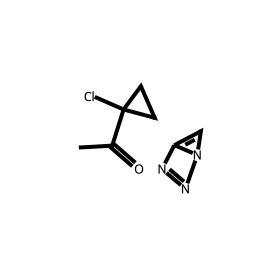 CC(=O)C1(Cl)CC1.c1c2nnn1-2